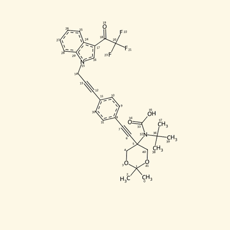 CC1(C)OCC(C#Cc2ccc(C#CCn3cc(C(=O)C(F)(F)F)c4ccccc43)cc2)(N(C(=O)O)C(C)(C)C)CO1